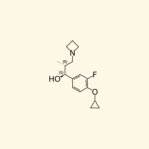 C[C@H](CN1CCC1)[C@H](O)c1ccc(OC2CC2)c(F)c1